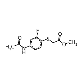 COC(=O)CSc1ccc(NC(C)=O)cc1F